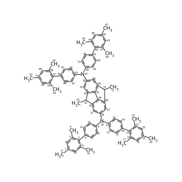 Cc1cc(C)c(-c2ccc(N(c3ccc(-c4c(C)cc(C)cc4C)cc3)c3cc4c5c(c3)C(C)c3cc(N(c6ccc(-c7c(C)cc(C)cc7C)cc6)c6ccc(-c7c(C)cc(C)cc7C)cc6)cc(c3-5)C4C)cc2)c(C)c1